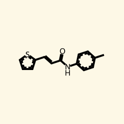 Cc1ccc(NC(=O)C=Cc2cccs2)cc1